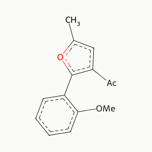 COc1ccccc1-c1oc(C)cc1C(C)=O